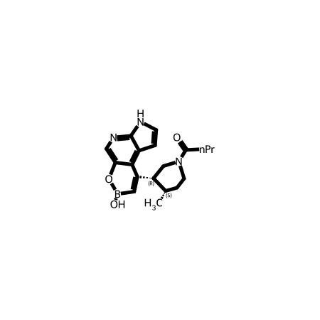 CCCC(=O)N1CC[C@H](C)[C@H](C2=CB(O)Oc3cnc4[nH]ccc4c32)C1